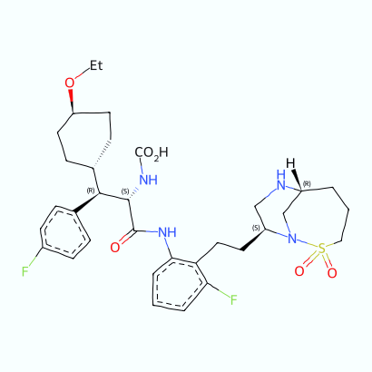 CCO[C@H]1CC[C@H]([C@H](c2ccc(F)cc2)[C@H](NC(=O)O)C(=O)Nc2cccc(F)c2CC[C@H]2CN[C@@H]3CCCS(=O)(=O)N2C3)CC1